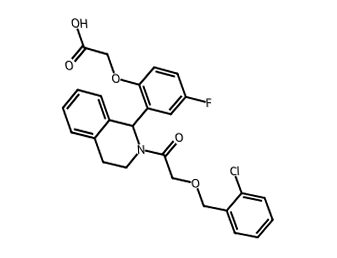 O=C(O)COc1ccc(F)cc1C1c2ccccc2CCN1C(=O)COCc1ccccc1Cl